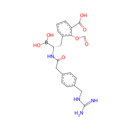 N=C(N)NCc1ccc(CC(=O)N[C@@H](Cc2cccc(C(=O)O)c2OC=O)B(O)O)cc1